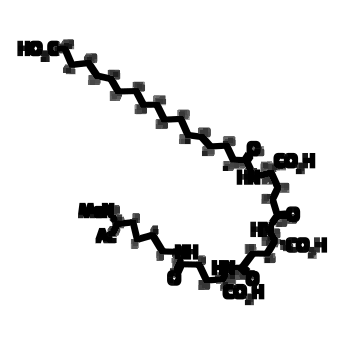 CN[C@@H](CCCCNC(=O)CC[C@H](NC(=O)CC[C@H](NC(=O)CC[C@H](NC(=O)CCCCCCCCCCCCCCCCC(=O)O)C(=O)O)C(=O)O)C(=O)O)C(C)=O